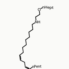 CCCCC/C=C\C/C=C\CCCCCCCCNCCOCCCCCCC